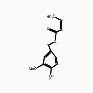 COc1cc(COC(=O)/C=C\C(=O)O)ccc1O